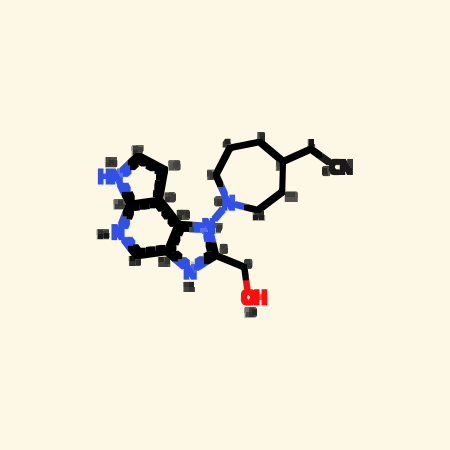 N#CCC1CCCN(n2c(CO)nc3cnc4[nH]ccc4c32)CC1